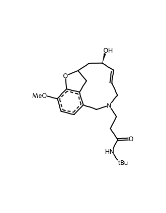 COc1ccc2c3c1OC(C3)C[C@@H](O)/C=C/CN(CCC(=O)NC(C)(C)C)C2